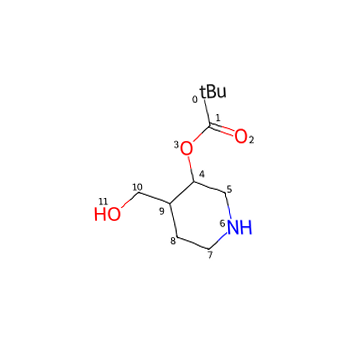 CC(C)(C)C(=O)OC1CNCCC1CO